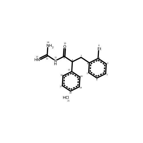 CCc1ccccc1CC(C(=O)NC(=N)N)c1ccccc1.Cl